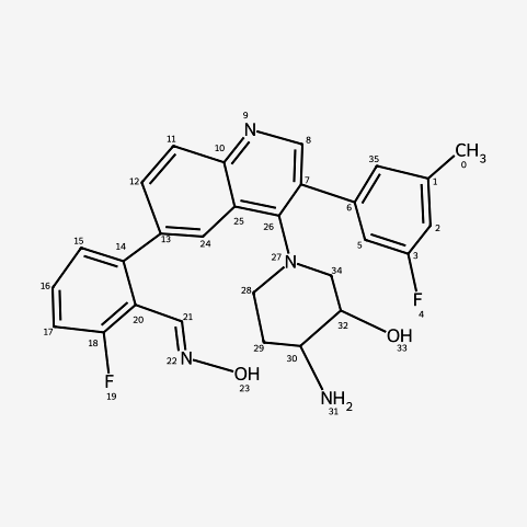 Cc1cc(F)cc(-c2cnc3ccc(-c4cccc(F)c4C=NO)cc3c2N2CCC(N)C(O)C2)c1